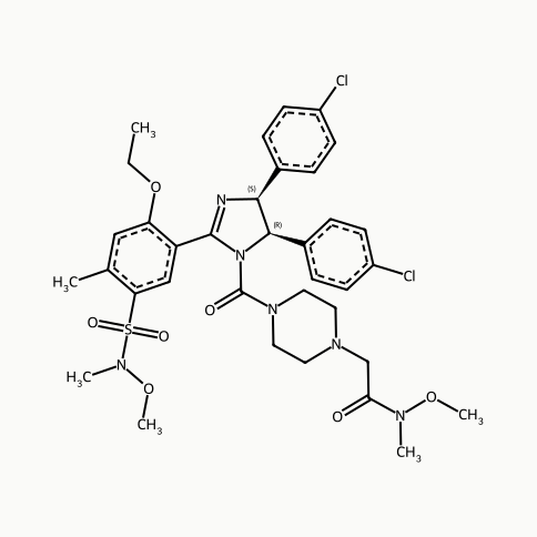 CCOc1cc(C)c(S(=O)(=O)N(C)OC)cc1C1=N[C@@H](c2ccc(Cl)cc2)[C@@H](c2ccc(Cl)cc2)N1C(=O)N1CCN(CC(=O)N(C)OC)CC1